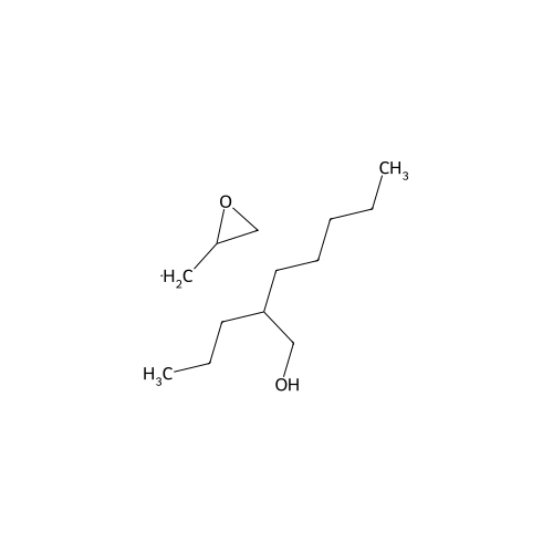 CCCCCC(CO)CCC.[CH2]C1CO1